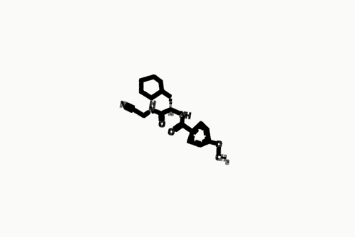 COc1ccc(C(=O)N[C@@H](CC2CCCCC2)C(=O)NCC#N)cc1